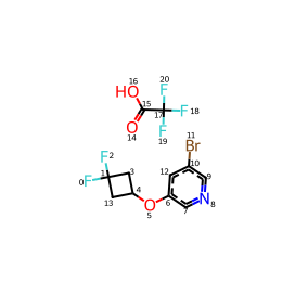 FC1(F)CC(Oc2cncc(Br)c2)C1.O=C(O)C(F)(F)F